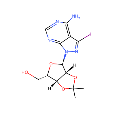 CC1(C)O[C@@H]2[C@H](O1)[C@H](CO)O[C@H]2n1nc(I)c2c(N)ncnc21